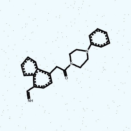 N=Cc1ccc(CC(=O)N2CCN(c3ccccc3)CC2)c2ccccc12